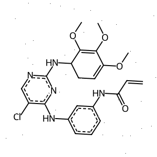 C=CC(=O)Nc1cccc(Nc2nc(NC3CC=C(OC)C(OC)=C3OC)ncc2Cl)c1